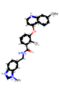 COc1ccc2c(Oc3cccc(C(=O)NCc4ccc5ncn(C(C)C)c5c4)c3C)ccnc2c1